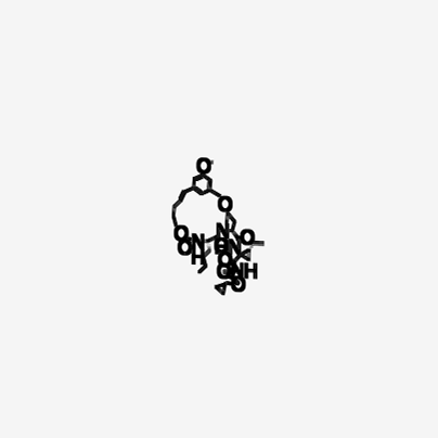 C=C[C@@H]1C[C@]1(NC(=O)[C@@H]1CC2CN1C(=O)[C@H](CCCC)NC(=O)OCCC/C=C/c1cc(cc(OC)c1)CO2)C(=O)NS(=O)(=O)C1CC1